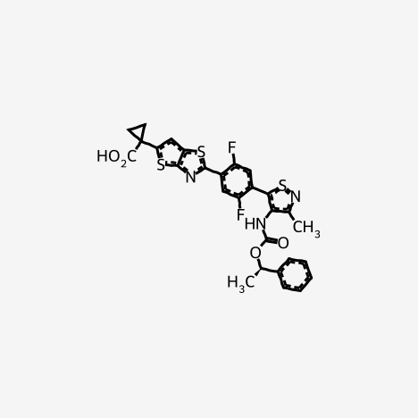 Cc1nsc(-c2cc(F)c(-c3nc4sc(C5(C(=O)O)CC5)cc4s3)cc2F)c1NC(=O)O[C@H](C)c1ccccc1